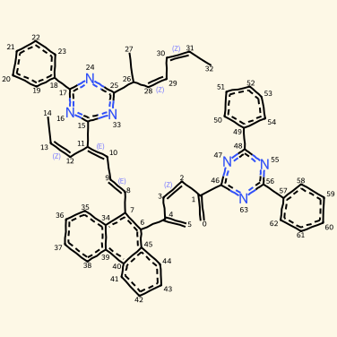 C=C(/C=C\C(=C)c1c(/C=C/C=C(\C=C/C)c2nc(-c3ccccc3)nc(C(C)/C=C\C=C/C)n2)c2ccccc2c2ccccc12)c1nc(-c2ccccc2)nc(-c2ccccc2)n1